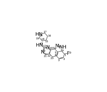 FC1C=CC2=C3C(=NNC31)c1nc(N[C@H]3CCCNC3)ncc1C2